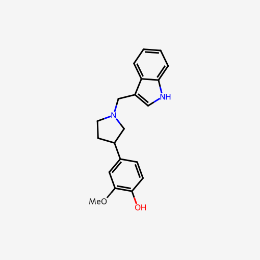 COc1cc(C2CCN(Cc3c[nH]c4ccccc34)C2)ccc1O